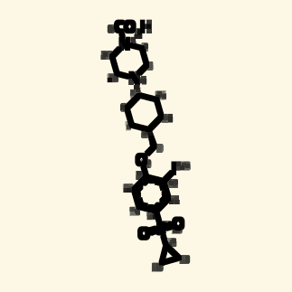 O=C(O)N1CCN([C@H]2CC[C@H](COc3ccc(S(=O)(=O)C4CC4)cc3F)CC2)CC1